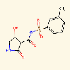 Cc1cccc(S(=O)(=O)NC(=O)C2C(=O)NCC2O)c1